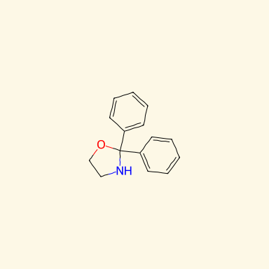 c1ccc(C2(c3ccccc3)NCCO2)cc1